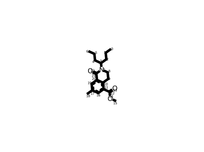 CCCC(CCC)N1CCc2c(C(=O)OC)cc(C)cc2C1=O